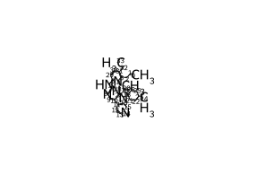 CCCc1nc(Nc2ncc3c4ccncc4n(C4(CC)CCC(C)CC4)c3n2)ccc1CC